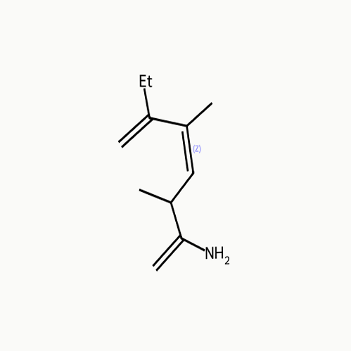 C=C(CC)/C(C)=C\C(C)C(=C)N